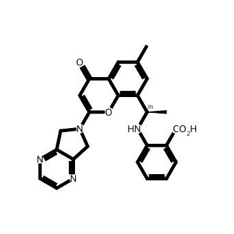 Cc1cc([C@@H](C)Nc2ccccc2C(=O)O)c2oc(N3Cc4nccnc4C3)cc(=O)c2c1